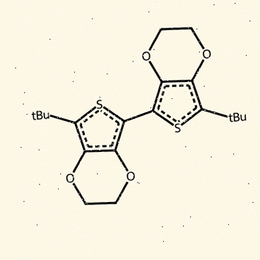 CC(C)(C)c1sc(-c2sc(C(C)(C)C)c3c2OCCO3)c2c1OCCO2